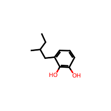 CCC(C)Cc1cccc(O)c1O